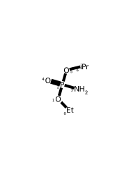 CCOP(N)(=O)OC(C)C